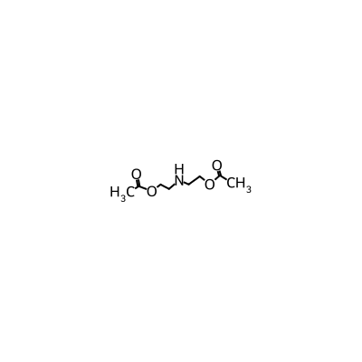 CC(=O)OCCNCCOC(C)=O